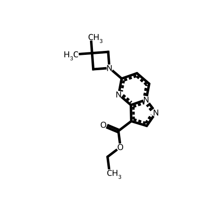 CCOC(=O)c1cnn2ccc(N3CC(C)(C)C3)nc12